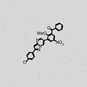 COc1c(C(=O)c2ccccc2)cc([N+](=O)[O-])cc1-c1cnc2cc(-c3ccc(Cl)cc3)nn2c1